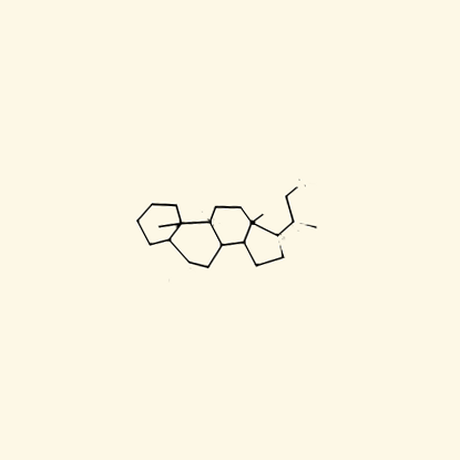 CC[C@H]1CC2C3CC[C@H]([C@H](C)CN)C3(C)CC[C@@H]2C2(C)CCCCC12